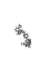 COc1cccc(OC)c1CNCc1ccc(C2=NOC(O)(C(F)(F)F)C2)cc1